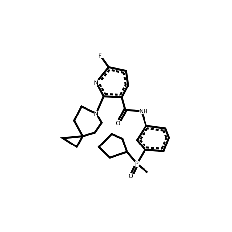 CP(=O)(c1cccc(NC(=O)c2ccc(F)nc2N2CCC3(CC2)CC3)c1)C1CCCC1